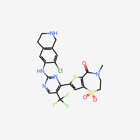 CN1CCS(=O)(=O)c2cc(-c3nc(Nc4cc5c(cc4Cl)CNCC5)ncc3C(F)(F)F)sc2C1=O